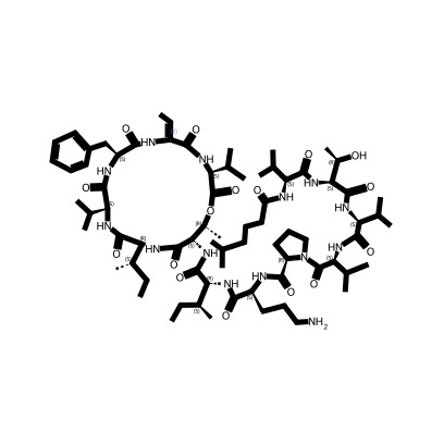 C/C=C1\NC(=O)[C@H](Cc2ccccc2)NC(=O)[C@H](C(C)C)NC(=O)[C@@H]([C@@H](C)CC)NC(=O)[C@@H](NC(=O)[C@H](NC(=O)[C@H](CCCN)NC(=O)[C@H]2CCCN2C(=O)[C@@H](NC(=O)[C@@H](NC(=O)[C@@H](NC(=O)[C@@H](NC(=O)CCCC(C)C)C(C)C)[C@@H](C)O)C(C)C)C(C)C)[C@@H](C)CC)[C@@H](C)OC(=O)[C@H](C(C)C)NC1=O